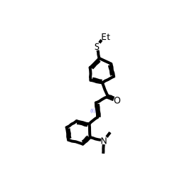 CCSc1ccc(C(=O)/C=C/c2ccccc2N(C)C)cc1